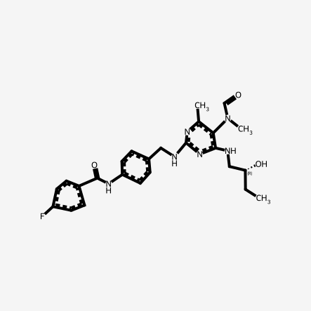 CC[C@@H](O)CNc1nc(NCc2ccc(NC(=O)c3ccc(F)cc3)cc2)nc(C)c1N(C)C=O